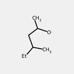 CCC(C)CC(C)[O]